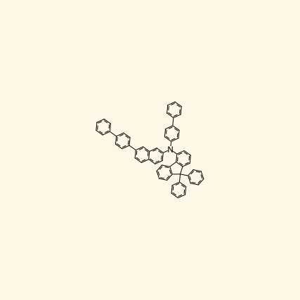 c1ccc(-c2ccc(-c3ccc4ccc(N(c5ccc(-c6ccccc6)cc5)c5cccc6c5-c5ccccc5C6(c5ccccc5)c5ccccc5)cc4c3)cc2)cc1